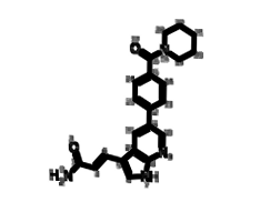 NC(=O)C=Cc1c[nH]c2ncc(-c3ccc(C(=O)N4CCCCC4)cc3)cc12